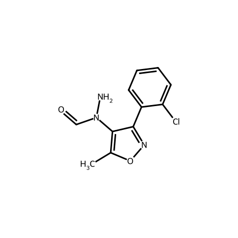 Cc1onc(-c2ccccc2Cl)c1N(N)C=O